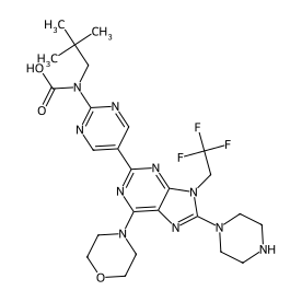 CC(C)(C)CN(C(=O)O)c1ncc(-c2nc(N3CCOCC3)c3nc(N4CCNCC4)n(CC(F)(F)F)c3n2)cn1